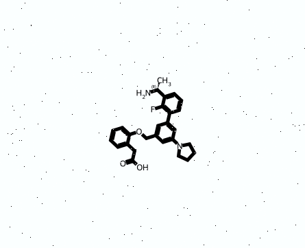 C[C@@H](N)c1cccc(-c2cc(COc3ccccc3CC(=O)O)cc(N3CCCC3)c2)c1F